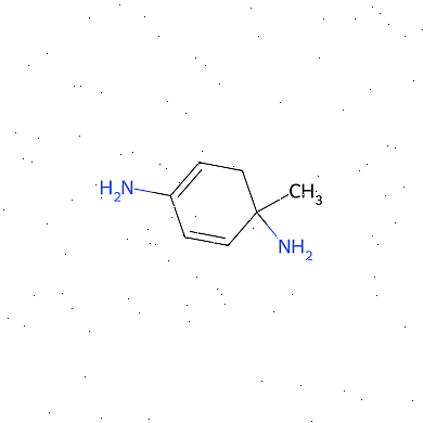 CC1(N)C=CC(N)=CC1